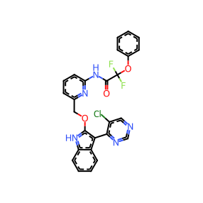 O=C(Nc1cccc(COc2[nH]c3ccccc3c2-c2ncncc2Cl)n1)C(F)(F)Oc1ccccc1